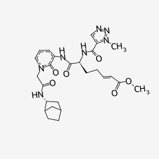 COC(=O)/C=C/CC[C@H](NC(=O)c1cnnn1C)C(=O)Nc1cccn(CC(=O)N[C@@H]2CC3CCC2C3)c1=O